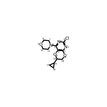 Clc1nc2c(c(N3CCOCC3)n1)OC(C1CC1)CO2